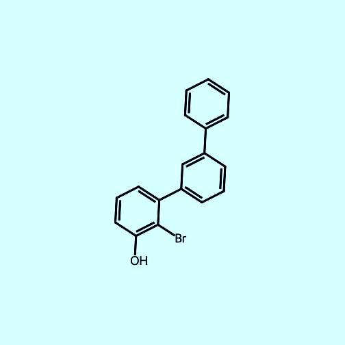 Oc1cccc(-c2cccc(-c3ccccc3)c2)c1Br